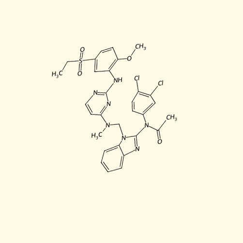 CCS(=O)(=O)c1ccc(OC)c(Nc2nccc(N(C)Cn3c(N(C(C)=O)c4ccc(Cl)c(Cl)c4)nc4ccccc43)n2)c1